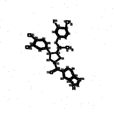 CN(Cc1ccc(C(F)(F)F)c(F)c1)C1CN(C(=O)c2ccc3nc[nH]c3c2)CC1c1ccc(Cl)c(Cl)c1